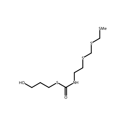 CSCSCSCCNC(=O)SCCCO